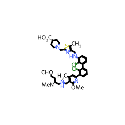 CN[C@@H](CCC=O)CNCc1c(C)cc(-c2cccc(-c3cccc(NCc4nc(CN5CCC(C(=O)O)CC5)sc4C)c3Cl)c2Cl)nc1OC